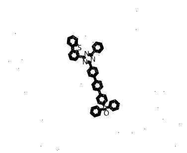 O=P(c1ccccc1)(c1ccccc1)c1ccc(-c2ccc(-c3ccc(-c4nc(-c5ccccc5)nc(-c5cccc6c5sc5ccccc56)n4)cc3)cc2)cc1